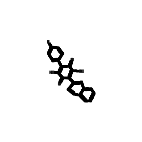 O=C1C(O)=C(c2ccc3ccccc3c2)C(=O)C(O)=C1c1ccc(F)cc1